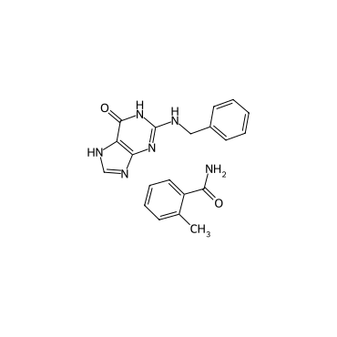 Cc1ccccc1C(N)=O.O=c1[nH]c(NCc2ccccc2)nc2nc[nH]c12